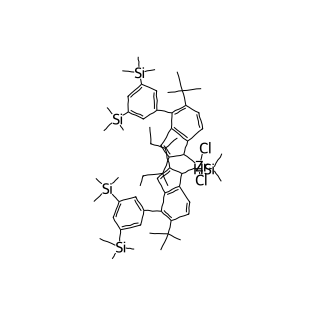 CCC(C)C1=Cc2c(ccc(C(C)(C)C)c2-c2cc([Si](C)(C)C)cc([Si](C)(C)C)c2)[CH]1[Zr]([Cl])([Cl])([CH]1C(C(C)CC)=Cc2c1ccc(C(C)(C)C)c2-c1cc([Si](C)(C)C)cc([Si](C)(C)C)c1)[SiH](C)C